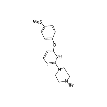 CSc1ccc(OC2C=C[C]=C(N3CCN(C(C)C)CC3)N2)cc1